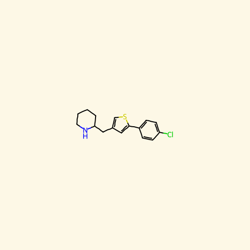 Clc1ccc(-c2cc(CC3CCCCN3)cs2)cc1